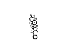 C/C(=C1/C(C)C[C@H]2[C@@H]3CC[C@H]4NC(=O)C=C[C@]4(C)[C@H]3CC[C@]12C)c1cccnc1